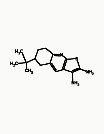 CC(C)(C)C1CCc2nc3sc(N)c(N)c3cc2C1